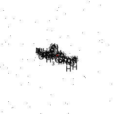 Cc1ccc(-c2nc3[nH]c(=O)c(-c4ccc[nH]4)cc3cc2-c2ccc3ncc(-c4ncc(-c5nc6[nH]c(=O)c(-c7ccn[nH]7)cc6cc5-c5ccc6ncccc6c5)s4)cc3c2)o1